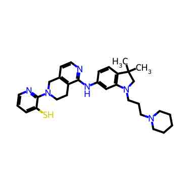 CC1(C)CN(CCCN2CCCCC2)c2cc(Nc3nccc4c3CCN(c3ncccc3S)C4)ccc21